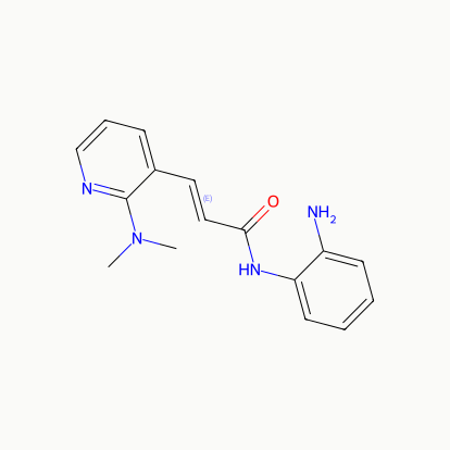 CN(C)c1ncccc1/C=C/C(=O)Nc1ccccc1N